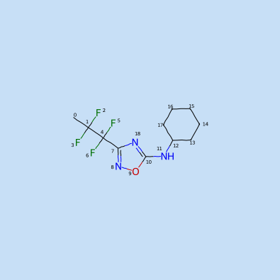 CC(F)(F)C(F)(F)c1noc(NC2CCCCC2)n1